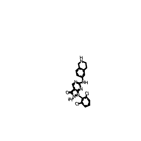 CC(C)n1c(=O)c2cnc(Nc3ccc4c(c3)CCNC4)nc2n1-c1c(Cl)cccc1Cl